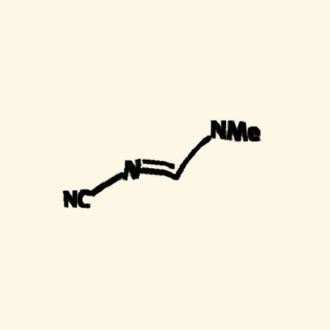 CNC=NC#N